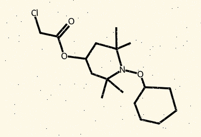 CC1(C)CC(OC(=O)CCl)CC(C)(C)N1OC1CCCCC1